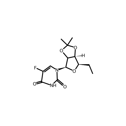 CC[C@H]1O[C@@H](n2cc(F)c(=O)[nH]c2=O)C2OC(C)(C)O[C@H]21